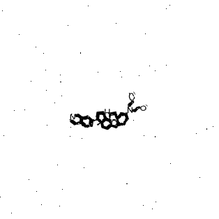 COCCN(CCOC)[C@@H]1CCC2=CC3=CC[C@]4(C)[C@@H](c5ccc6ccncc6c5)CC[C@H]4[C@@]34CCC2(C1)O4